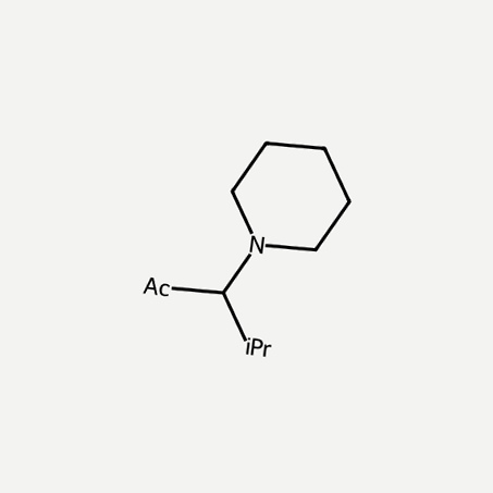 CC(=O)C(C(C)C)N1CCCCC1